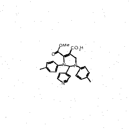 COC(=O)C1=C(C(=O)O)CN(c2ccc(C)cc2)C(c2ccncc2)N1c1ccc(C)cc1